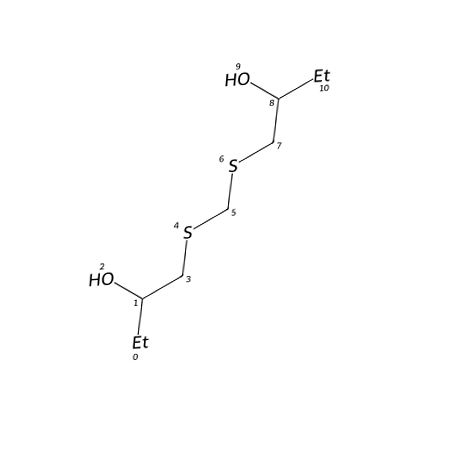 CCC(O)CSCSCC(O)CC